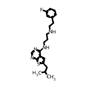 CC(C)Cc1cc2c(NCCCNCCc3cccc(F)c3)ncnc2s1